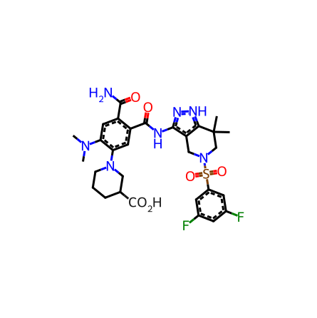 CN(C)c1cc(C(N)=O)c(C(=O)Nc2n[nH]c3c2CN(S(=O)(=O)c2cc(F)cc(F)c2)CC3(C)C)cc1N1CCCC(C(=O)O)C1